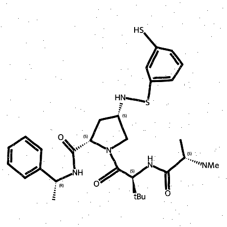 CN[C@@H](C)C(=O)N[C@H](C(=O)N1C[C@@H](NSc2cccc(S)c2)C[C@H]1C(=O)N[C@H](C)c1ccccc1)C(C)(C)C